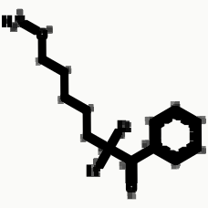 CCC(CC)(CCCC[CH]ON)C(=O)c1ccccc1